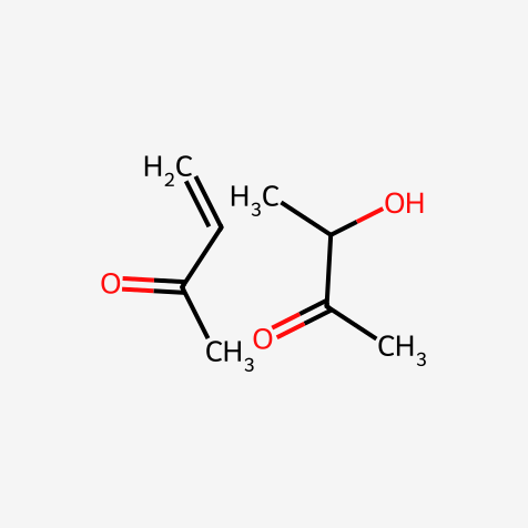 C=CC(C)=O.CC(=O)C(C)O